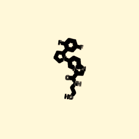 O=C(NCCO)c1cnc2ccc(N3CCCC3c3cc(F)ccc3F)cn12